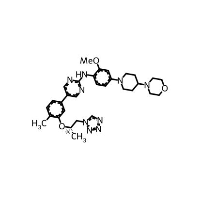 COc1cc(N2CCC(N3CCOCC3)CC2)ccc1Nc1ncc(-c2ccc(C)c(O[C@@H](C)Cn3cnnn3)c2)cn1